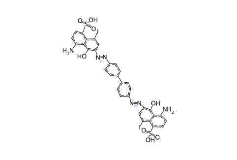 Nc1ccc(S(=O)(=O)O)c2c(I)cc(/N=N/c3ccc(-c4ccc(/N=N/c5cc(I)c6c(S(=O)(=O)O)ccc(N)c6c5O)cc4)cc3)c(O)c12